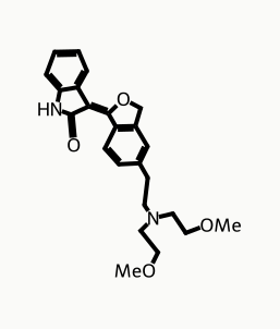 COCCN(CCOC)CCc1ccc2c(c1)CO/C2=C1/C(=O)Nc2ccccc21